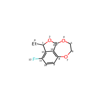 CCC1OB2OCCOc3ccc(F)c1c32